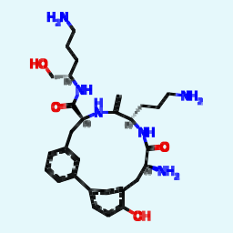 C=C1N[C@H](C(=O)N[C@H](CO)CCCN)Cc2cccc(c2)-c2ccc(O)c(c2)C[C@H](N)C(=O)N[C@H]1CCCN